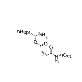 CCCCCCCCNC(=O)/C=C\C(=O)OC(N)CCCCCCC